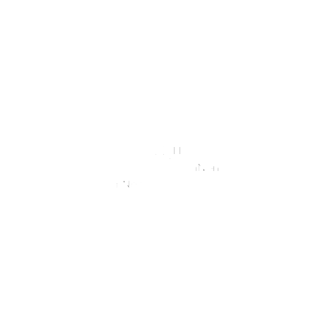 CCCCCCCCCCC(CCCCCCCCC)C(=O)O